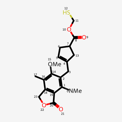 CNc1c(CC2=CCC(C(=O)OCS)C2)c(OC)c(C)c2c1C(=O)OC2